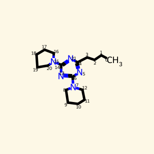 CCCCc1nc(N2CCCCC2)nc(N2CCCCC2)n1